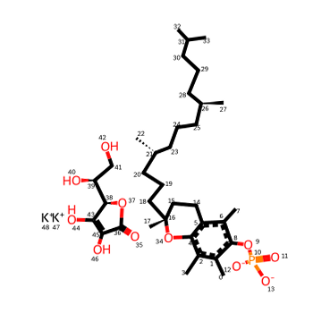 Cc1c(C)c2c(c(C)c1OP(=O)([O-])[O-])CC[C@@](C)(CCC[C@H](C)CCC[C@H](C)CCCC(C)C)O2.O=C1O[C@H]([C@@H](O)CO)C(O)=C1O.[K+].[K+]